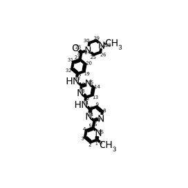 Cc1cccc(-c2nccc(Nc3ccnc(Nc4ccc(C(=O)N5CCN(C)CC5)cc4)n3)n2)n1